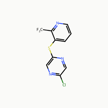 FC(F)(F)c1ncccc1Sc1cnc(Cl)cn1